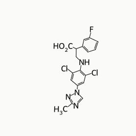 Cc1ncn(-c2cc(Cl)c(NCC(C(=O)O)c3cccc(F)c3)c(Cl)c2)n1